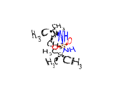 C[Si](C)(C)NS(=O)(=O)N[Si](C)(C)C